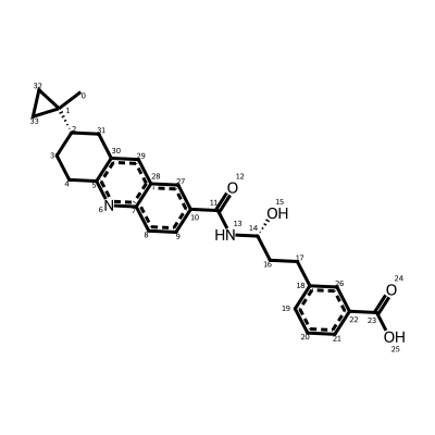 CC1([C@H]2CCc3nc4ccc(C(=O)N[C@H](O)CCc5cccc(C(=O)O)c5)cc4cc3C2)CC1